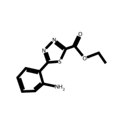 CCOC(=O)c1nnc(-c2ccccc2N)s1